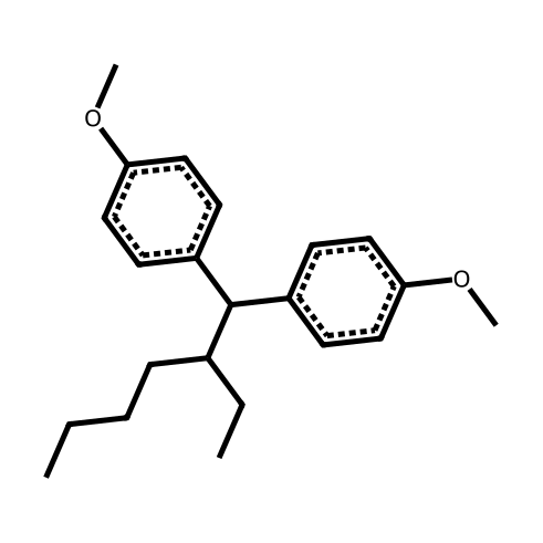 CCCCC(CC)C(c1ccc(OC)cc1)c1ccc(OC)cc1